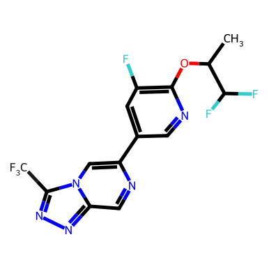 CC(Oc1ncc(-c2cn3c(C(F)(F)F)nnc3cn2)cc1F)C(F)F